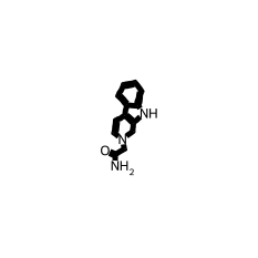 NC(=O)CN1C=Cc2c([nH]c3ccccc23)C1